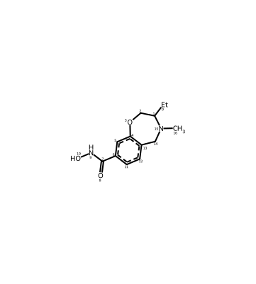 CCC1COc2cc(C(=O)NO)ccc2CN1C